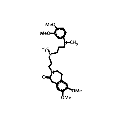 COc1ccc(N(C)CCCN(C)CCCN2CCc3cc(OC)c(OC)cc3CC2=O)cc1OC